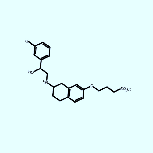 CCOC(=O)CCCOc1ccc2c(c1)CC(NCC(O)c1cccc(Cl)c1)CC2